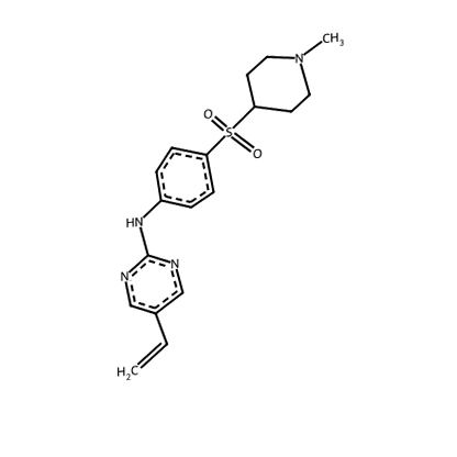 C=Cc1cnc(Nc2ccc(S(=O)(=O)C3CCN(C)CC3)cc2)nc1